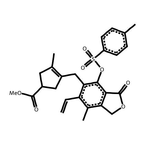 C=Cc1c(C)c2c(c(OS(=O)(=O)c3ccc(C)cc3)c1CC1=C(C)CC(C(=O)OC)C1)C(=O)OC2